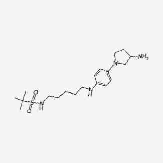 CC(C)(C)S(=O)(=O)NCCCCCNc1ccc(N2CCC(N)C2)cc1